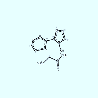 CCCCCCCCCCCC(N)=O.Sc1nnnn1-c1ccccc1